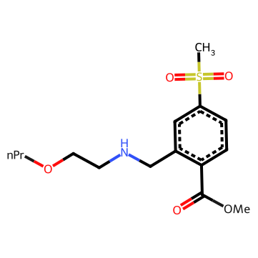 CCCOCCNCc1cc(S(C)(=O)=O)ccc1C(=O)OC